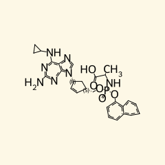 CC(NP(=O)(OC[C@@H]1C=C[C@H](n2cnc3c(NC4CC4)nc(N)nc32)C1)Oc1cccc2ccccc12)C(=O)O